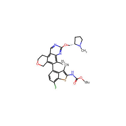 Cc1c(-c2ccc(F)c3sc(NC(=O)OC(C)(C)C)c(C#N)c23)c2c(c3cnc(OC[C@@H]4CCCN4C)nc13)CCOC2